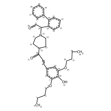 CCCCOc1cc(C=CC(=O)N2CCN(C(C=O)c3ccccc3-c3ccccc3)CC2)cc(OCCCC)c1O